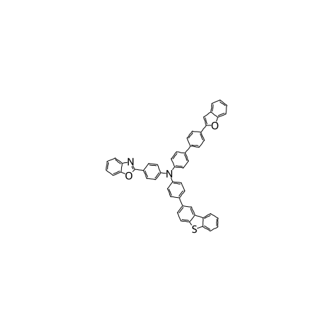 c1ccc2oc(-c3ccc(-c4ccc(N(c5ccc(-c6ccc7sc8ccccc8c7c6)cc5)c5ccc(-c6nc7ccccc7o6)cc5)cc4)cc3)cc2c1